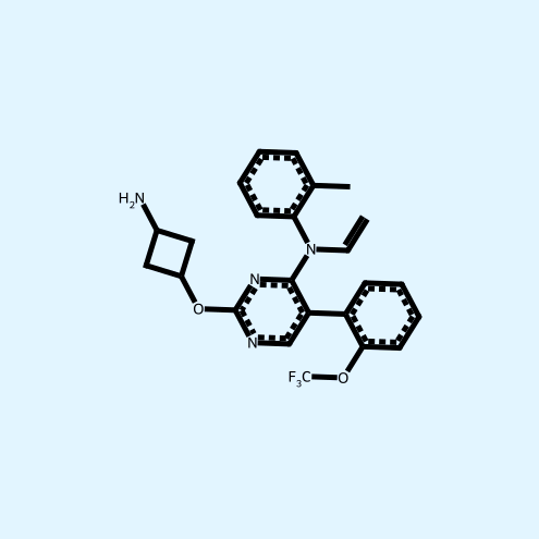 C=CN(c1ccccc1C)c1nc(OC2CC(N)C2)ncc1-c1ccccc1OC(F)(F)F